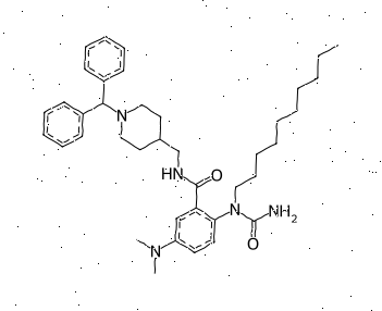 CCCCCCCCCCN(C(N)=O)c1ccc(N(C)C)cc1C(=O)NCC1CCN(C(c2ccccc2)c2ccccc2)CC1